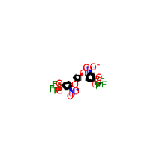 O=[N+]([O-])c1cc(S(=O)(=O)C(F)(F)F)ccc1OC1CCC(Oc2ccc(S(=O)(=O)C(F)(F)F)cc2[N+](=O)[O-])C1